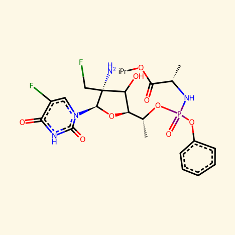 CC(C)OC(=O)[C@H](C)NP(=O)(Oc1ccccc1)O[C@H](C)[C@H]1O[C@@H](n2cc(F)c(=O)[nH]c2=O)[C@@](N)(CF)C1O